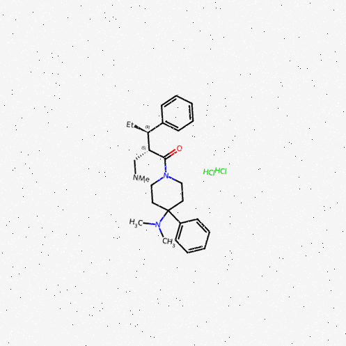 CC[C@@H](c1ccccc1)[C@@H](CNC)C(=O)N1CCC(c2ccccc2)(N(C)C)CC1.Cl.Cl